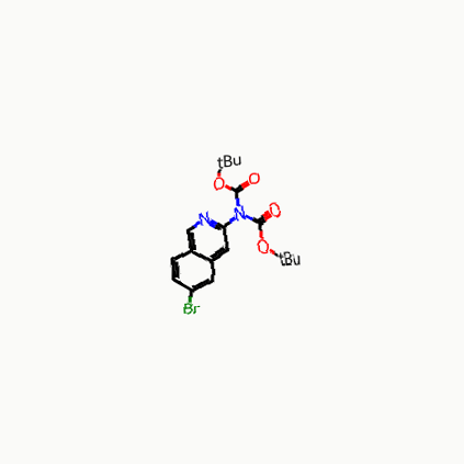 CC(C)(C)OC(=O)N(C(=O)OC(C)(C)C)c1cc2cc(Br)ccc2cn1